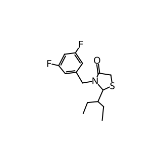 CCC(CC)C1SCC(=O)N1Cc1cc(F)cc(F)c1